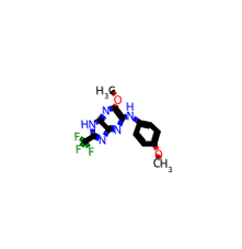 COc1ccc(Nc2nc3nc(C(F)(F)F)[nH]c3nc2OC)cc1